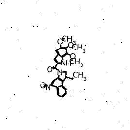 CCC1CN(C(=O)c2cc3cc(OC)c(OC)c(OC)c3[nH]2)c2cc(N=O)c3ccccc3c21